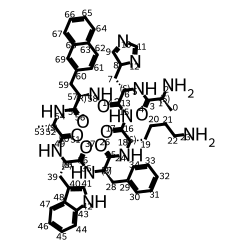 C[C@H](N)C(=O)N[C@@H](CC1C=NC=N1)C(=O)NC(=O)[C@H](CCCCN)NC(=O)[C@@H](Cc1ccccc1)NC(=O)[C@H](Cc1c[nH]c2ccccc12)NC(=O)[C@H](C)NC(=O)[C@H](N)Cc1ccc2ccccc2c1